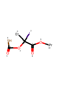 CCC(I)(OC(=O)S)C(=O)OC(C)C